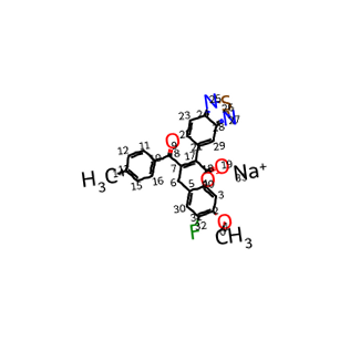 COc1ccc(C/C(C(=O)c2ccc(C)cc2)=C(\C(=O)[O-])c2ccc3nsnc3c2)cc1F.[Na+]